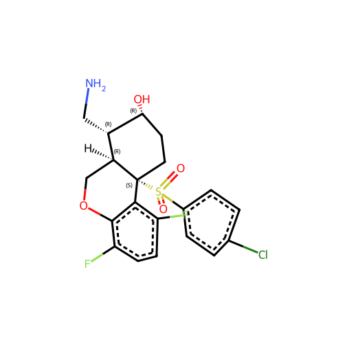 NC[C@@H]1[C@H](O)CC[C@@]2(S(=O)(=O)c3ccc(Cl)cc3)c3c(F)ccc(F)c3OC[C@@H]12